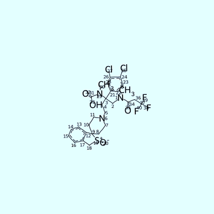 CN(CC(CCN1CCC2(CC1)c1ccccc1C[S@+]2[O-])(c1ccc(Cl)c(Cl)c1)N(C)C(=O)O)C(=O)CC(F)(F)F